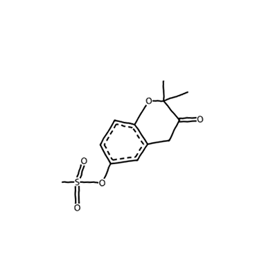 CC1(C)Oc2ccc(OS(C)(=O)=O)cc2CC1=O